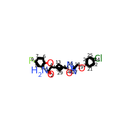 NC(=O)C(Oc1ccc(F)cc1)C12CC(c3nc(COc4ccc(Cl)cc4)no3)(C1)C2